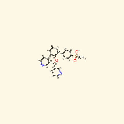 CS(=O)(=O)c1ccc(-c2ccccc2OC(c2cccnc2)c2cccnc2)cc1